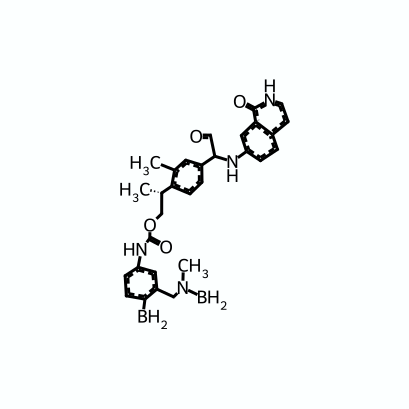 Bc1ccc(NC(=O)OC[C@H](C)c2ccc(C(C=O)Nc3ccc4cc[nH]c(=O)c4c3)cc2C)cc1CN(B)C